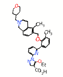 CCOc1c(C(=O)O)cnn1-c1cccc(-c2cccc(C)c2OCc2ccc3c(c2C)CCN(CC2CCOCC2)C3)n1